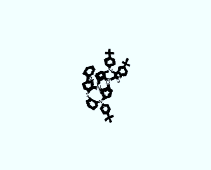 CC(C)(C)c1ccc(N2c3ccc4c(c3)N(c3cccc5c3B4c3sc4ccc(C(C)(C)C)cc4c3N5c3ccc(C(C)(C)C)cc3)c3c(ccc4c3sc3ccccc34)Sc3ccccc32)cc1